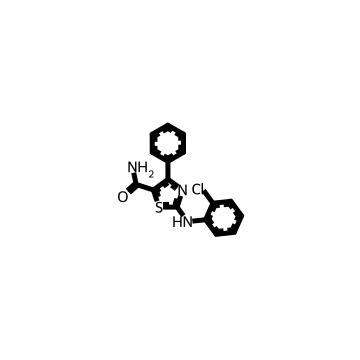 NC(=O)c1sc(Nc2ccccc2Cl)nc1-c1ccccc1